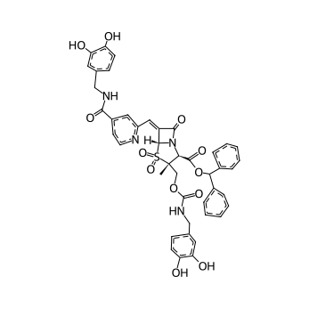 C[C@]1(COC(=O)NCc2ccc(O)c(O)c2)[C@H](C(=O)OC(c2ccccc2)c2ccccc2)N2C(=O)/C(=C/c3cc(C(=O)NCc4ccc(O)c(O)c4)ccn3)[C@H]2S1(=O)=O